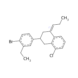 CC/C=C1/CC(c2ccc(Br)c(CC)c2)Cc2c(Cl)cccc21